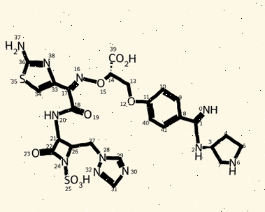 N=C(N[C@H]1CCNC1)c1ccc(OC[C@H](O/N=C(\C(=O)NC2C(=O)N(S(=O)(=O)O)C2Cn2cncn2)c2csc(N)n2)C(=O)O)cc1